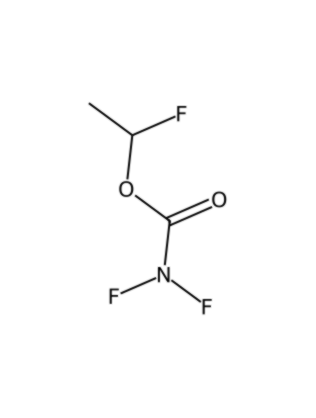 CC(F)OC(=O)N(F)F